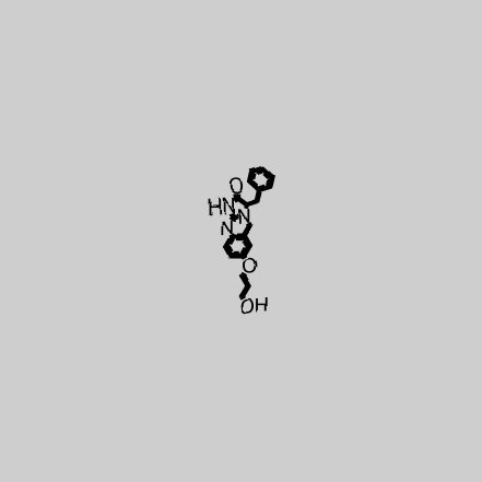 O=C1NC2=Nc3ccc(OCCCO)cc3CN2C1Cc1ccccc1